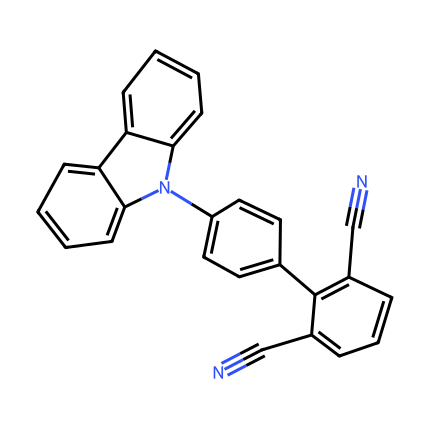 N#Cc1cccc(C#N)c1-c1ccc(-n2c3ccccc3c3ccccc32)cc1